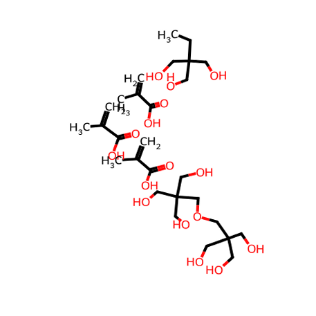 C=C(C)C(=O)O.C=C(C)C(=O)O.C=C(C)C(=O)O.CCC(CO)(CO)CO.OCC(CO)(CO)COCC(CO)(CO)CO